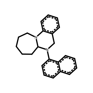 c1ccc2c(c1)CN(c1cccc3ccccc13)C1CCCCCN21